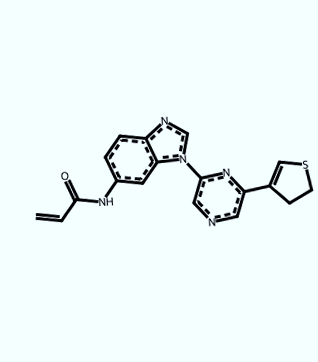 C=CC(=O)Nc1ccc2ncn(-c3cncc(C4=CSCC4)n3)c2c1